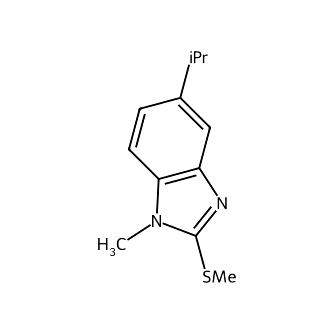 CSc1nc2cc(C(C)C)ccc2n1C